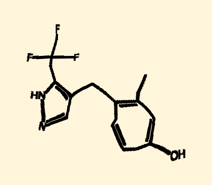 Cc1cc(O)ccc1Cc1cn[nH]c1C(F)(F)F